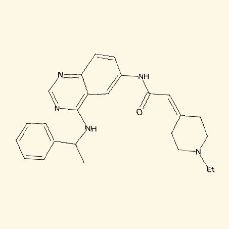 CCN1CCC(=CC(=O)Nc2ccc3ncnc(NC(C)c4ccccc4)c3c2)CC1